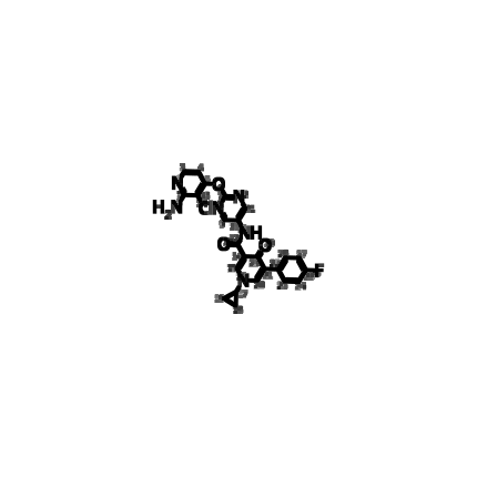 Nc1nccc(Oc2ncc(NC(=O)c3cn(C4CC4)cc(-c4ccc(F)cc4)c3=O)cn2)c1Cl